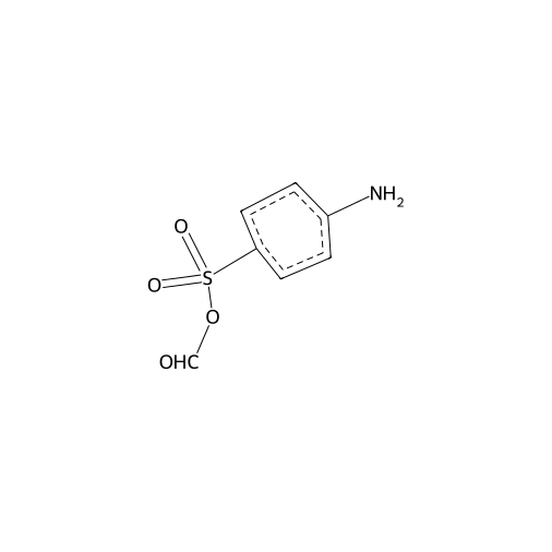 Nc1ccc(S(=O)(=O)OC=O)cc1